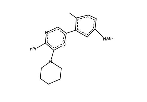 CCCc1ncc(-c2cc(NC)ccc2C)nc1N1CCCCC1